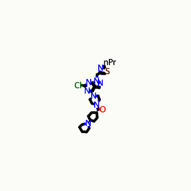 CCCc1nc(Cn2ncc3c(N4CCN(C(=O)[C@H]5CC[C@H](N6CCCCC6)CC5)CC4)nc(Cl)nc32)cs1